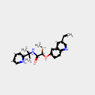 C=Cc1cnc2ccc(OC(SC)C(=O)NC(C)(C)c3ccccn3)cc2c1